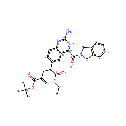 C=C(CC(C(=O)OCC)c1ccc2nc(N)nc(C(=O)N3Cc4ccccc4C3)c2c1)C(=O)OC(C)(C)C